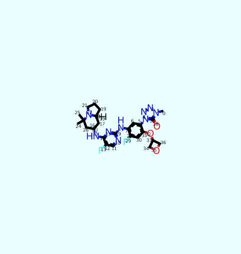 Cn1nnn(-c2cc(Nc3ncc(F)c(N[C@@H]4C[C@@H]5CCCN5C(C)(C)C4)n3)c(F)cc2OC2COC2)c1=O